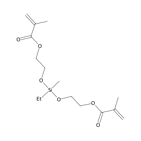 [CH2]C[Si](C)(OCCOC(=O)C(=C)C)OCCOC(=O)C(=C)C